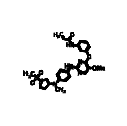 C=CC(=O)Nc1cccc(Oc2nc(Nc3ccc(N(C)C4CCN(S(C)(=O)=O)C4)cc3)ncc2OC)c1